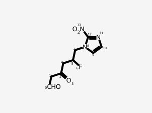 O=CCC(=O)CC(F)Cn1ccnc1[N+](=O)[O-]